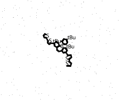 CC(C)(C)c1cc(C(C)(C)C)c(B2c3ccc(-c4ccc(-c5cccs5)s4)cc3C=Cc3cc(-c4ccc(-c5cccs5)s4)ccc32)c(C(C)(C)C)c1